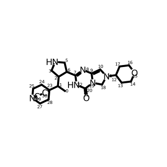 CC(C1CNCC1C1=NC2=CN(C3CCOCC3)CN2C(=O)N1)C12CCN(CC1)CC2